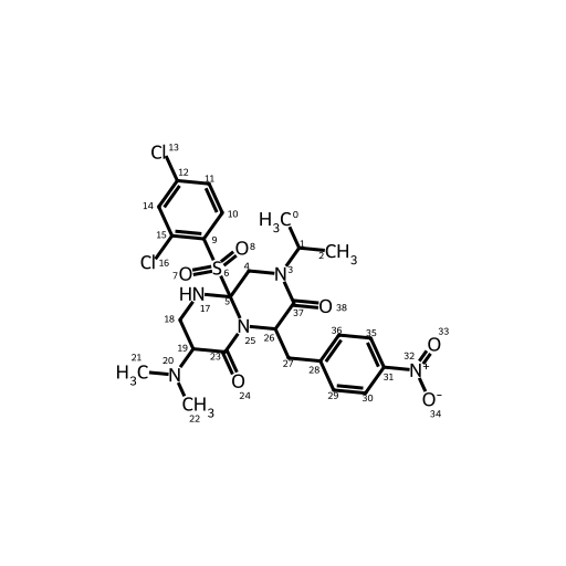 CC(C)N1CC2(S(=O)(=O)c3ccc(Cl)cc3Cl)NCC(N(C)C)C(=O)N2C(Cc2ccc([N+](=O)[O-])cc2)C1=O